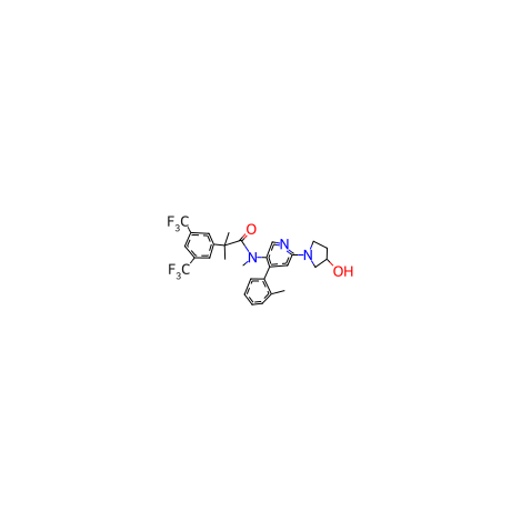 Cc1ccccc1-c1cc(N2CCC(O)C2)ncc1N(C)C(=O)C(C)(C)c1cc(C(F)(F)F)cc(C(F)(F)F)c1